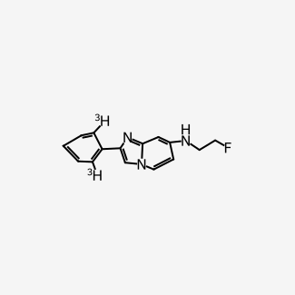 [3H]c1cccc([3H])c1-c1cn2ccc(NCCF)cc2n1